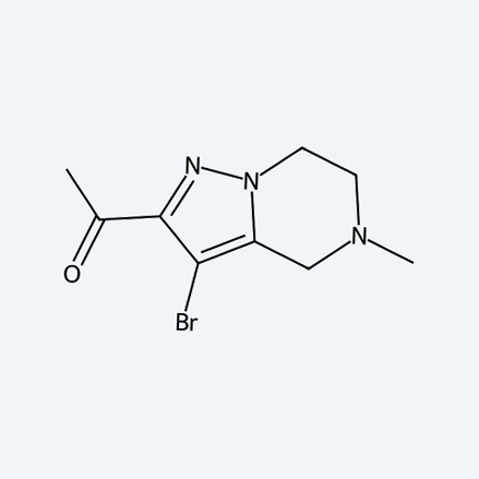 CC(=O)c1nn2c(c1Br)CN(C)CC2